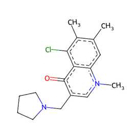 Cc1cc2c(c(Cl)c1C)c(=O)c(CN1CCCC1)cn2C